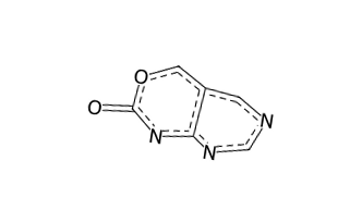 O=c1nc2ncncc2co1